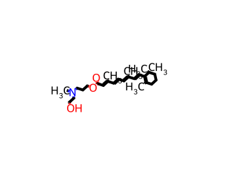 CC1=C(/C=C/C(C)=C/C=C/C(C)=C/C(=O)OCCCN(C)CCO)C(C)(C)CCC1